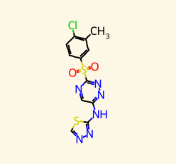 Cc1cc(S(=O)(=O)c2ncc(Nc3nncs3)nn2)ccc1Cl